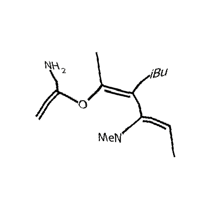 C=C(N)O/C(C)=C(\C(=C\C)NC)C(C)CC